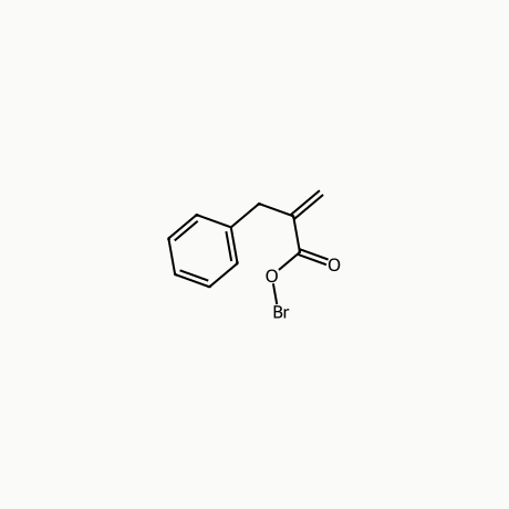 C=C(Cc1ccccc1)C(=O)OBr